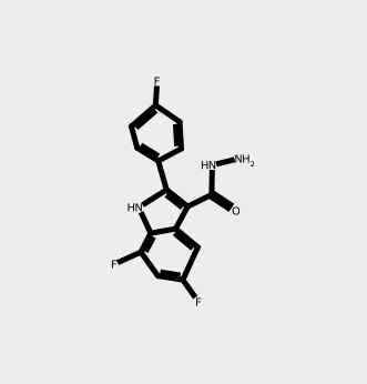 NNC(=O)c1c(-c2ccc(F)cc2)[nH]c2c(F)cc(F)cc12